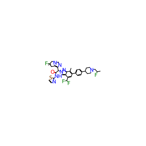 Cc1c(-c2ccc(C3CCN(CC(C)F)CC3)cc2)cc(C(F)F)c2cn(C(C(=O)Nc3nccs3)c3ncn4c3C[C@@H](F)C4)nc12